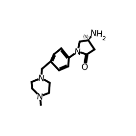 CN1CCN(Cc2ccc(N3C[C@@H](N)CC3=O)cc2)CC1